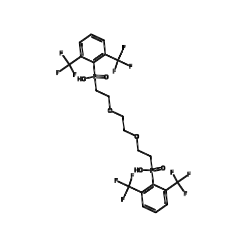 O=P(O)(CCOCCOCCP(=O)(O)c1c(C(F)(F)F)cccc1C(F)(F)F)c1c(C(F)(F)F)cccc1C(F)(F)F